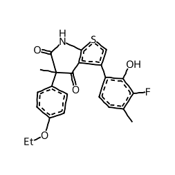 CCOc1ccc(C2(C)C(=O)Nc3scc(-c4ccc(C)c(F)c4O)c3C2=O)cc1